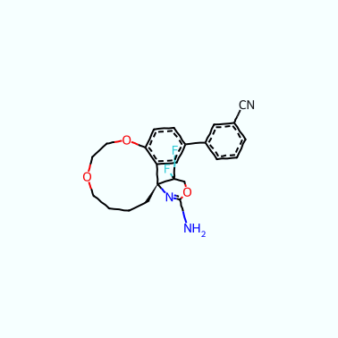 N#Cc1cccc(-c2ccc3c(c2)[C@@]2(CCCCOCCO3)N=C(N)OCC2(F)F)c1